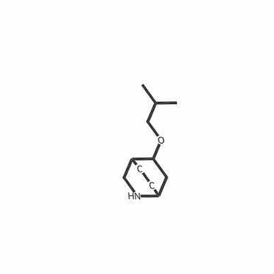 CC(C)COC1CC2CCC1CN2